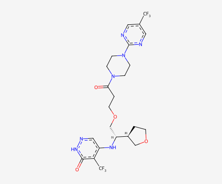 O=C(CCOC[C@@H](Nc1cn[nH]c(=O)c1C(F)(F)F)[C@H]1CCOC1)N1CCN(c2ncc(C(F)(F)F)cn2)CC1